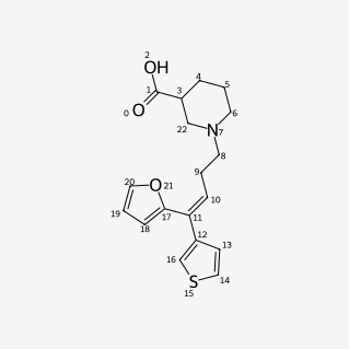 O=C(O)C1CCCN(CCC=C(c2ccsc2)c2ccco2)C1